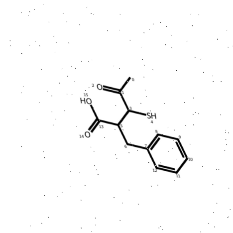 CC(=O)C(S)C(Cc1ccccc1)C(=O)O